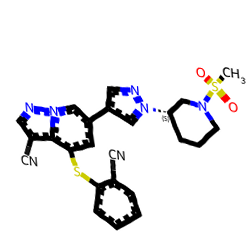 CS(=O)(=O)N1CCC[C@H](n2cc(-c3cc(Sc4ccccc4C#N)c4c(C#N)cnn4c3)cn2)C1